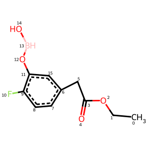 CCOC(=O)Cc1ccc(F)c(OBO)c1